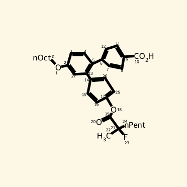 CCCCCCCCOc1ccc(-c2ccc(C(=O)O)cc2)c(-c2ccc(OC(=O)C(C)(F)CCCCC)cc2)c1